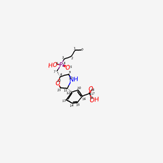 CCCCP(=O)(O)C[C@@H]1CN[C@H](c2cccc(C(=O)O)c2)CO1